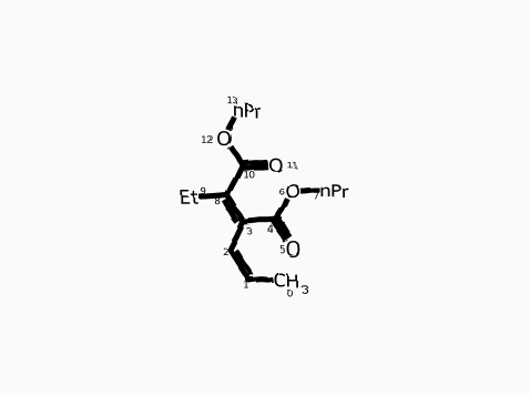 C/C=C\C(C(=O)OCCC)=C(/CC)C(=O)OCCC